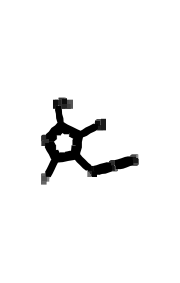 CCCCc1sc(F)c(N=C=S)c1Cl